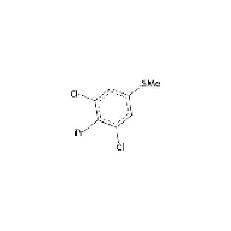 CSc1cc(Cl)c(C(C)C)c(Cl)c1